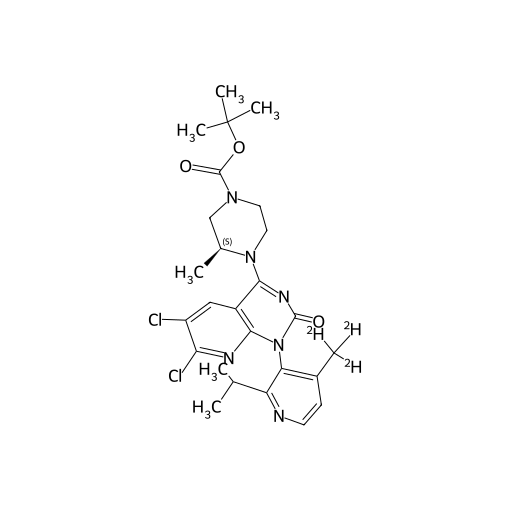 [2H]C([2H])([2H])c1ccnc(C(C)C)c1-n1c(=O)nc(N2CCN(C(=O)OC(C)(C)C)C[C@@H]2C)c2cc(Cl)c(Cl)nc21